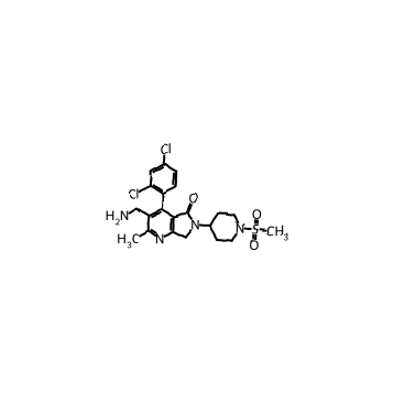 Cc1nc2c(c(-c3ccc(Cl)cc3Cl)c1CN)C(=O)N(C1CCN(S(C)(=O)=O)CC1)C2